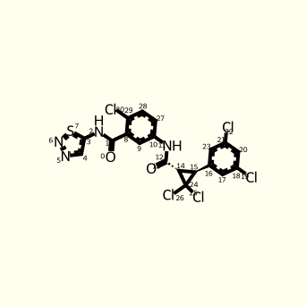 O=C(Nc1cnns1)c1cc(NC(=O)[C@@H]2[C@@H](c3cc(Cl)cc(Cl)c3)C2(Cl)Cl)ccc1Cl